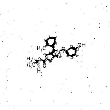 Cc1ccccc1-c1c2c(nn1Cc1cccc(O)c1)CN(C(=O)OC(C)(C)C)C2